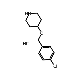 Cl.Clc1ccc(COC2CCNCC2)cc1